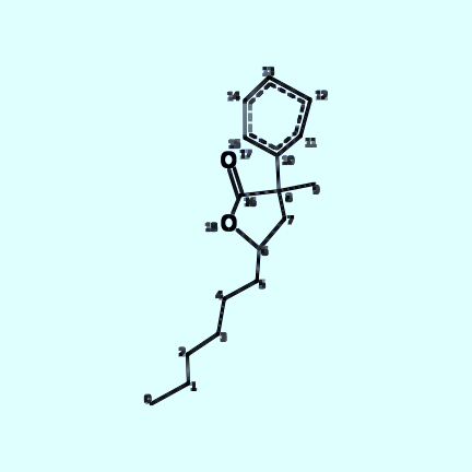 CCCCCCC1CC(C)(c2ccccc2)C(=O)O1